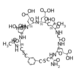 CC(=O)N[C@H]1CSCc2cccc(c2)CSC[C@@H](C(N)=O)NC(=O)[C@H](CCC(=O)O)NC(=O)CNC(=O)[C@H]([C@@H](C)O)CC(=O)[C@H](CCC(=O)O)NC(=O)[C@H](CCC(=O)O)NC(O)[C@H](CC(O)O)NC1O